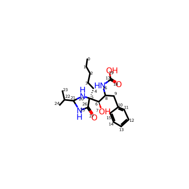 CCCCC[C@@]1([C@H](O)C(Cc2ccccc2)NC(=O)O)NC(C(C)C)NC1=O